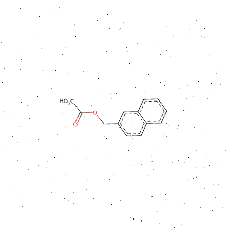 O=C(O)C(=O)OCc1ccc2ccccc2c1